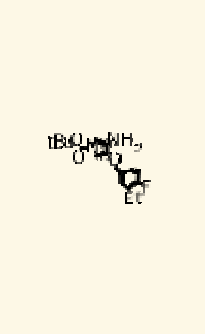 CCc1cc(CO[C@H]2CN(C(=O)OC(C)(C)C)C[C@@H]2N)ccc1F